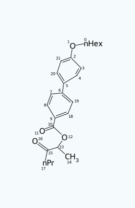 CCCCCCOc1ccc(-c2ccc(C(=O)OC(C)C(=O)CCC)cc2)cc1